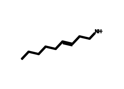 CCCCCC=CCC[NH]